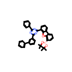 CC1(C)OB(c2cccc3c2oc2c(-c4nc(-c5ccccc5)nc(-c5cccc(-c6ccccc6)c5)n4)cccc23)OC1(C)C